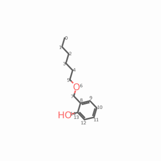 CCCCCCOCc1ccccc1O